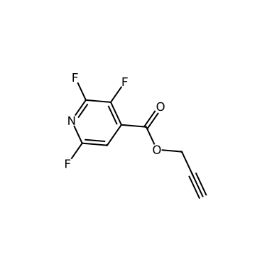 C#CCOC(=O)c1cc(F)nc(F)c1F